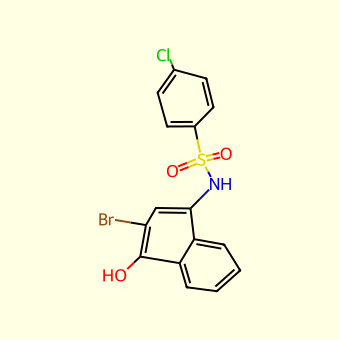 O=S(=O)(Nc1cc(Br)c(O)c2ccccc12)c1ccc(Cl)cc1